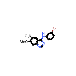 COc1cc2ncnc(Nc3cccc(Br)c3)c2cc1[N+](=O)[O-]